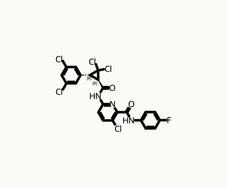 O=C(Nc1ccc(F)cc1)c1nc(NC(=O)[C@H]2[C@H](c3cc(Cl)cc(Cl)c3)C2(Cl)Cl)ccc1Cl